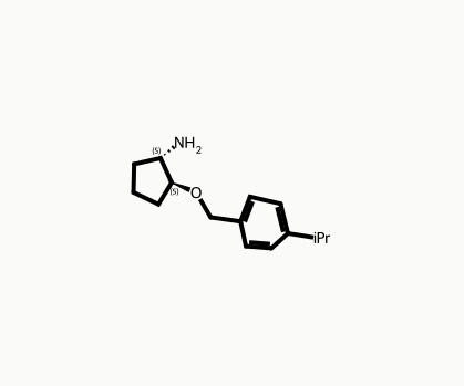 CC(C)c1ccc(CO[C@H]2CCC[C@@H]2N)cc1